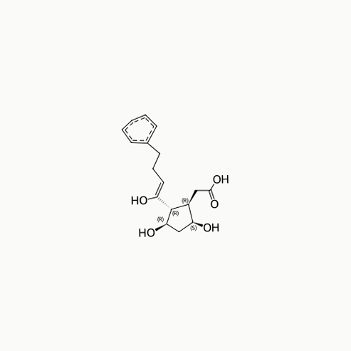 O=C(O)C[C@@H]1[C@@H](C(O)=CCCc2ccccc2)[C@H](O)C[C@@H]1O